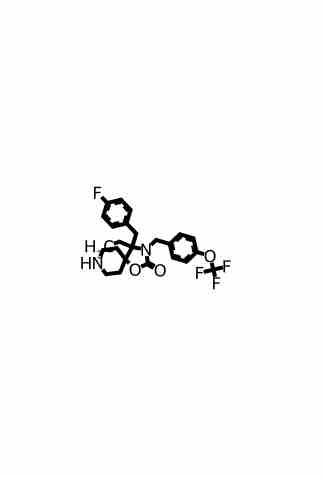 CCC1(Cc2ccc(F)cc2)N(Cc2ccc(OC(F)(F)F)cc2)C(=O)OC12CCNCC2